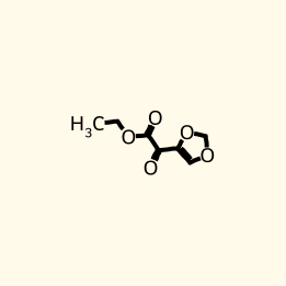 CCOC(=O)C(=O)C1=COCO1